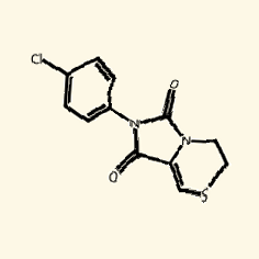 O=C1C2=CSCCN2C(=O)N1c1ccc(Cl)cc1